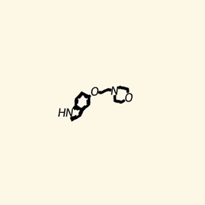 c1cc2cc(OCCN3CCOCC3)ccc2[nH]1